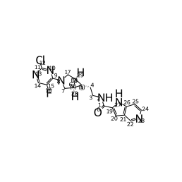 O=C(NCC[C@@H]1[C@H]2CN(c3nc(Cl)ncc3F)C[C@@H]12)c1cc2cnccc2[nH]1